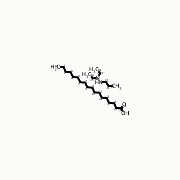 CCCCCCCCCCCCCCCCCC(=O)O.CCCNN(CC)CC